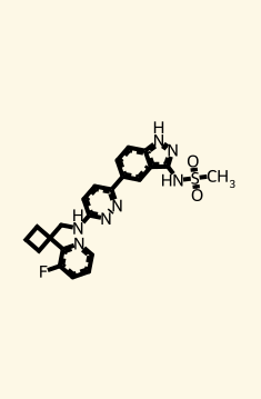 CS(=O)(=O)Nc1n[nH]c2ccc(-c3ccc(NCC4(c5ncccc5F)CCC4)nn3)cc12